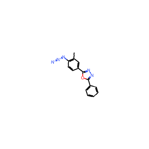 Cc1cc(-c2nnc(-c3ccccc3)o2)ccc1N=[N+]=[N-]